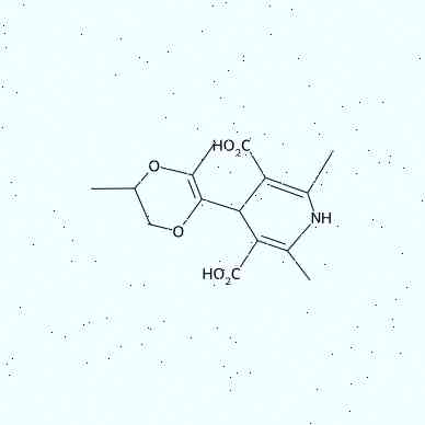 CC1=C(C(=O)O)C(C2=C(C)OC(C)CO2)C(C(=O)O)=C(C)N1